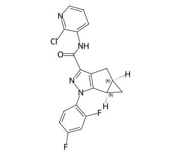 O=C(Nc1cccnc1Cl)c1nn(-c2ccc(F)cc2F)c2c1C[C@H]1C[C@@H]21